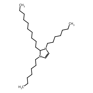 CCCCCCCCCCC1N(CCCCCCC)C=CN1CCCCCCC